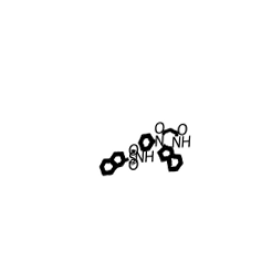 O=C1CC(=O)N(c2cccc(NS(=O)(=O)c3ccc4ccccc4c3)c2)c2ccc3ccccc3c2N1